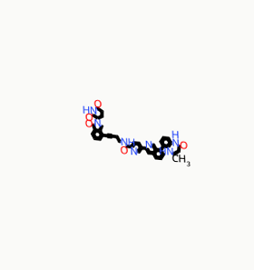 C[C@@H]1CC(=O)Nc2cccc(-c3cccc4cc(-c5ccc(C(=O)NCCC#Cc6cccc7c6CN(C6CCC(=O)NC6=O)C7=O)nc5)ncc34)c2N1